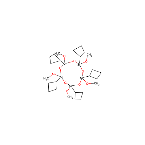 CO[Si]1(C2CCC2)O[Si](OC)(C2CCC2)O[Si](OC)(C2CCC2)O[Si](OC)(C2CCC2)O[Si](OC)(C2CCC2)O1